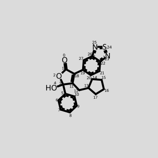 O=C1OC(O)(c2ccccc2)C(CC2CCCC2)=C1c1ccc2nsnc2c1